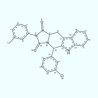 Cc1cccc(N2C(=O)C3Cc4c([nH]c5ccccc45)C(c4cccc(Cl)c4)N3C2=O)c1